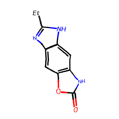 CCc1nc2cc3oc(=O)[nH]c3cc2[nH]1